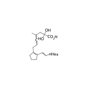 CCCCCC/C=C/C1=C(CC=C=C(C)CC(O)(O)C(=O)O)CCC1